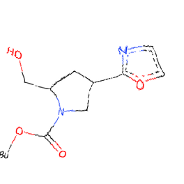 CC(C)(C)OC(=O)N1CC(c2ncco2)CC1CO